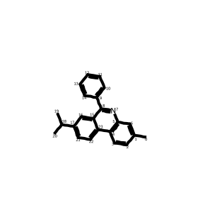 Cc1ccc2c(c1)nc(-c1ccccc1)c1cc(C(C)C)ccc12